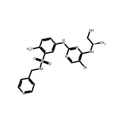 Cc1ccc(Nc2ncc(Br)c(N[C@H](C)CO)n2)cc1S(=O)(=O)NCc1ccncc1